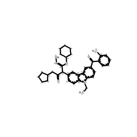 CCn1c2ccc(C(=O)c3ccccc3C)cc2c2cc(C(C(=O)CC3CCCC3)C(=NO)OC3CCCCC3)ccc21